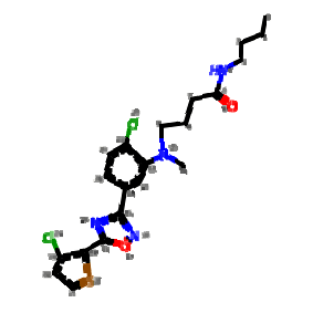 CCCCNC(=O)CCCN(C)c1cc(-c2noc(-c3sccc3Cl)n2)ccc1Cl